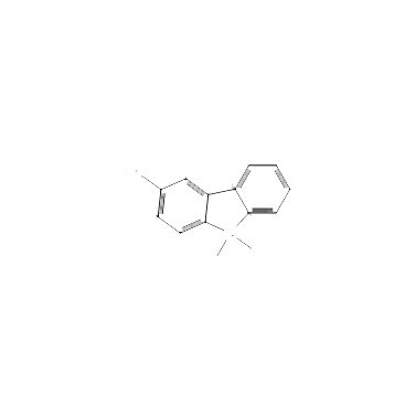 C[Si]1(C)c2ccccc2-c2cc(N)ccc21